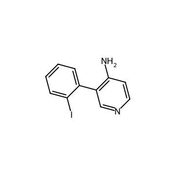 Nc1ccncc1-c1ccccc1I